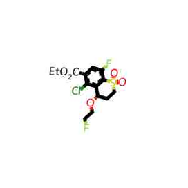 CCOC(=O)c1cc(F)c2c(c1Cl)C(OCCF)CCS2(=O)=O